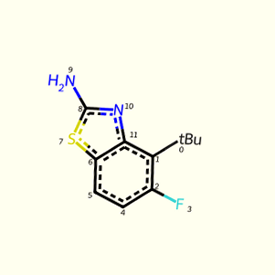 CC(C)(C)c1c(F)ccc2sc(N)nc12